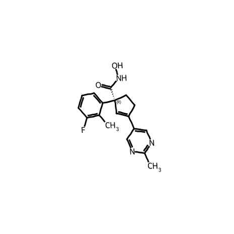 Cc1ncc(C2=C[C@@](C(=O)NO)(c3cccc(F)c3C)CC2)cn1